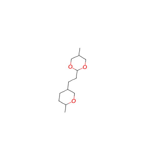 CC1COC(CCC2CCC(C)OC2)OC1